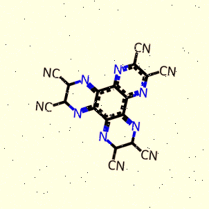 N#Cc1nc2c3c(c4c(c2nc1C#N)=NC(C#N)C(C#N)N=4)=NC(C#N)C(C#N)N=3